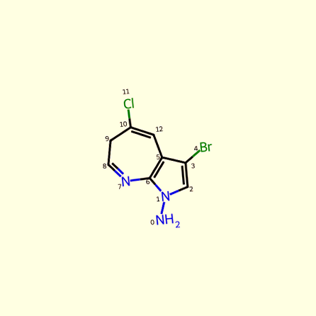 Nn1cc(Br)c2c1N=CCC(Cl)=C2